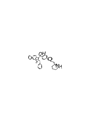 COc1ccc2c(C(O)c3ccc(OCCC4CCCCN4)cc3)c(Cc3ccccc3)sc2c1